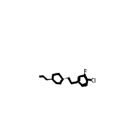 CCC[C@H]1CC[C@H](CCc2ccc(Cl)c(F)c2)CC1